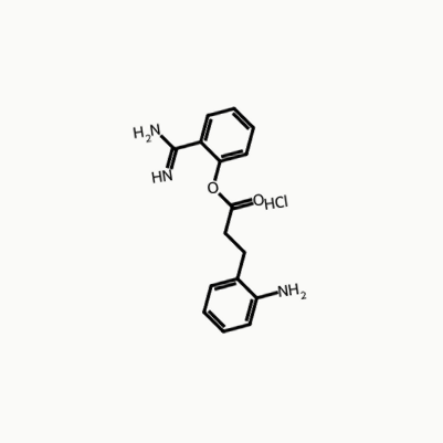 Cl.N=C(N)c1ccccc1OC(=O)CCc1ccccc1N